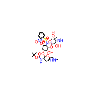 CNCC1=CC[C@@H](NC(=O)OC(C)(C)C)[C@@H](O[C@H]2[C@H](O)[C@@H](O[C@H]3OC[C@](C)(O)[C@H](NC)[C@H]3O)[C@H](NS(=O)(=O)c3ccccc3[N+](=O)[O-])C[C@@H]2C)O1